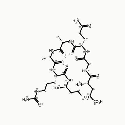 C[C@H](NC(=O)[C@H](C)NC(=O)[C@H](CCC(N)=O)NC(=O)CNC(=O)[C@@H](N)CCC(=O)O)C(=O)N[C@@H](CCCNC(=N)N)C(=O)N[C@H]([C]=O)CCC(=O)O